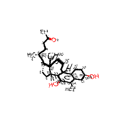 CCC(=O)CC[C@@H](C)[C@H]1CC[C@H]2C3[C@H](O)[C@H](CC)C4C[C@H](O)CC[C@]4(C)[C@H]3CCC12C